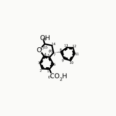 O=C(O)c1ccc2c(c1)[C@@H](c1ccccc1)CC(O)O2